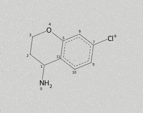 NC1CCOc2cc(Cl)ccc21